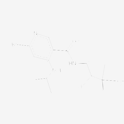 CC(C)[AsH]c1cc(Br)ncc1C(=O)NCC(F)C(C)(C)O